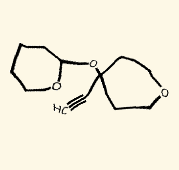 C#CC1(OC2CCCCO2)CCOCC1